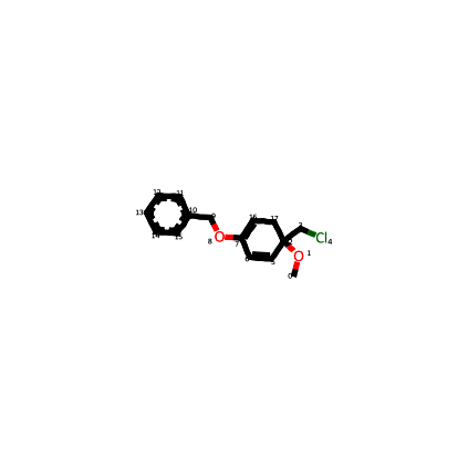 COC1(CCl)C=CC(OCc2ccccc2)=CC1